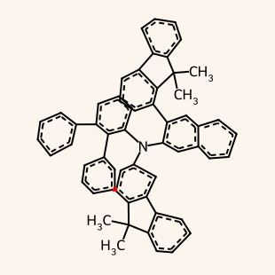 CC1(C)c2ccccc2-c2cc(N(c3cc4ccccc4cc3-c3cccc4c3C(C)(C)c3ccccc3-4)c3cccc(-c4ccccc4)c3-c3ccccc3)ccc21